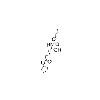 CCCCOC(=O)NC(O)CCCC(=O)OC1CCCC1